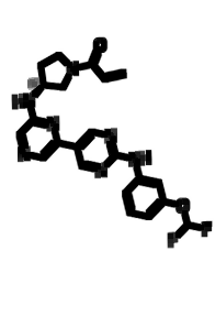 C=CC(=O)N1CC[C@H](Nc2cncc(-c3cnc(Nc4cccc(OC(F)F)c4)nc3)n2)C1